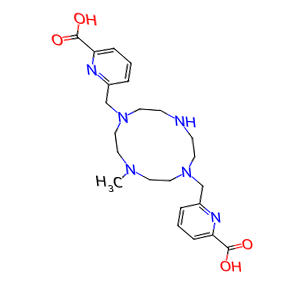 CN1CCN(Cc2cccc(C(=O)O)n2)CCNCCN(Cc2cccc(C(=O)O)n2)CC1